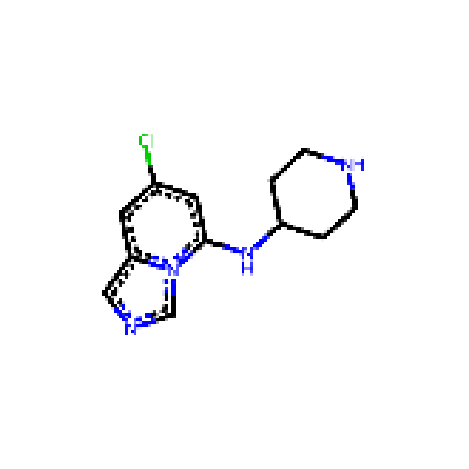 Clc1cc(NC2CCNCC2)n2cncc2c1